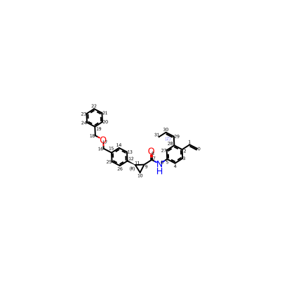 C=Cc1ccc(NC(=O)C2C[C@H]2c2ccc(COCc3ccccc3)cc2)cc1/C=C\C